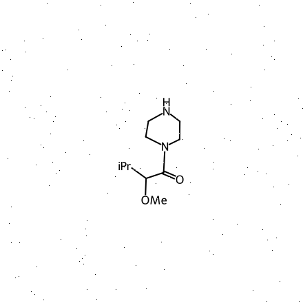 COC(C(=O)N1CCNCC1)C(C)C